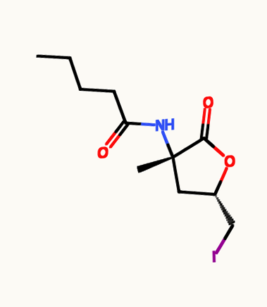 CCCCC(=O)N[C@@]1(C)C[C@@H](CI)OC1=O